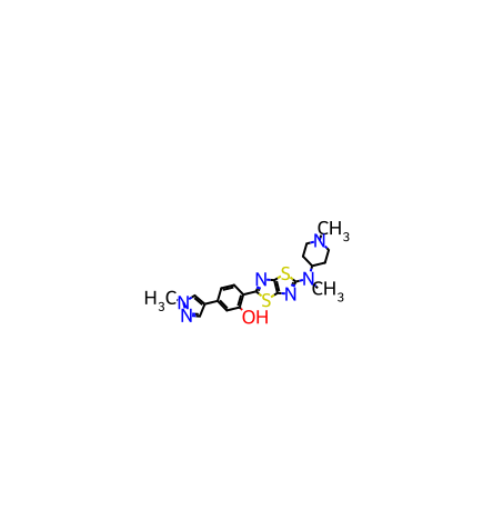 CN1CCC(N(C)c2nc3sc(-c4ccc(-c5cnn(C)c5)cc4O)nc3s2)CC1